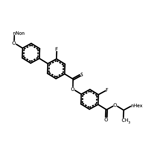 CCCCCCCCCOc1ccc(-c2ccc(C(=S)Oc3ccc(C(=O)OC(C)CCCCCC)c(F)c3)cc2F)cc1